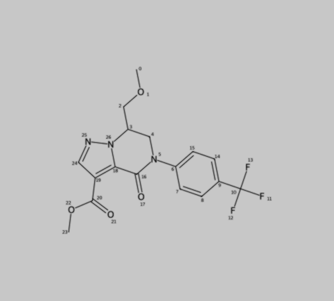 COCC1CN(c2ccc(C(F)(F)F)cc2)C(=O)c2c(C(=O)OC)cnn21